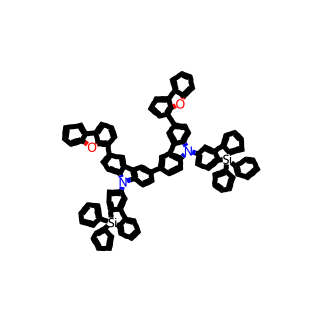 c1ccc([Si]2(c3ccccc3)c3ccccc3-c3cc(-n4c5ccc(-c6ccc7c(c6)c6cc(-c8cccc9c8oc8ccccc89)ccc6n7-c6ccc7c(c6)-c6ccccc6[Si]7(c6ccccc6)c6ccccc6)cc5c5cc(-c6cccc7c6oc6ccccc67)ccc54)ccc32)cc1